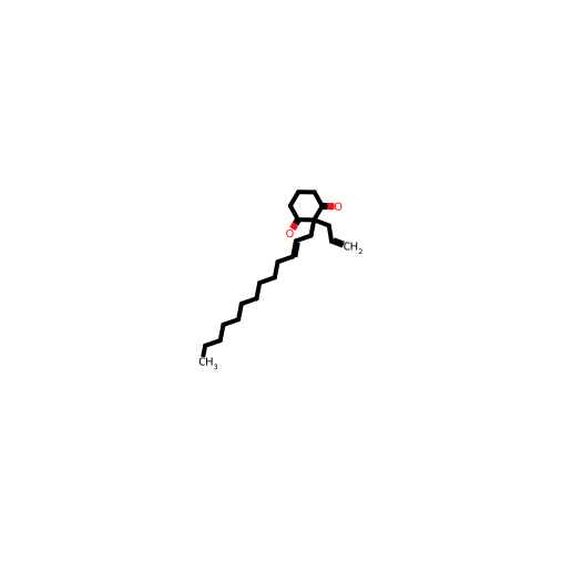 C=CCC1(C/C=C/CCCCCCCCCC)C(=O)CCCC1=O